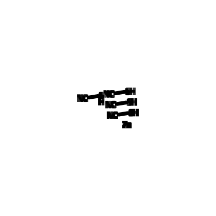 N#CS.N#CS.N#CS.N#CS.[Zn]